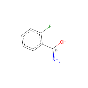 N[C@H](O)c1ccccc1F